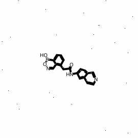 O=C(Cc1cccc2c1C=NOB2O)Nc1ccc2cnccc2c1